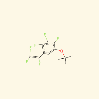 CC(C)(C)Oc1cc(C(F)=C(F)F)c(F)c(F)c1F